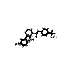 COC(C)(C)c1ccc(CN[C@@H]2CCCc3c2[nH]c2ccc(Br)cc32)cc1